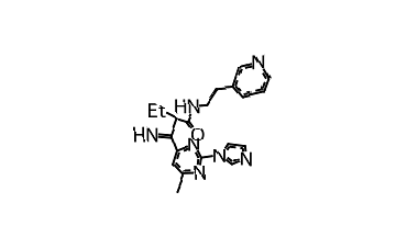 CCC(C(=N)c1cc(C)nc(-n2ccnc2)n1)C(=O)NCCc1cccnc1